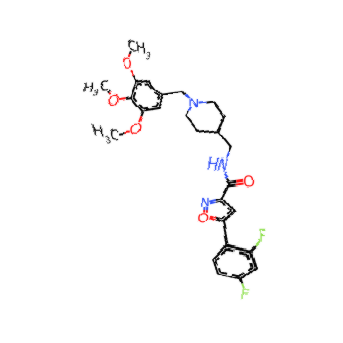 COc1cc(CN2CCC(CNC(=O)c3cc(-c4ccc(F)cc4F)on3)CC2)cc(OC)c1OC